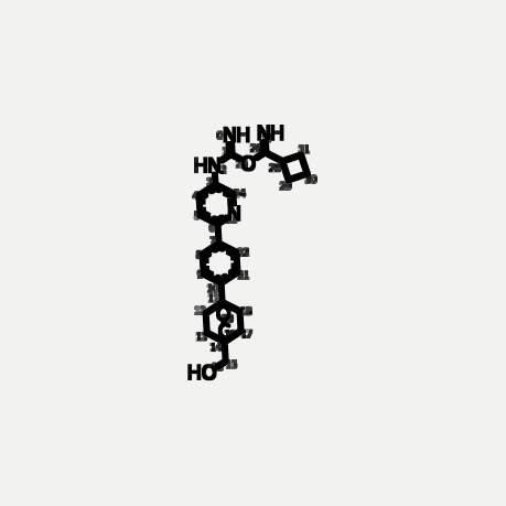 N=C(Nc1ccc(-c2ccc(C34CCC(CO)(CC3)CO4)cc2)nc1)OC(=N)C1CCC1